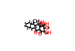 CC1=C2C=CC=CC2C=C2C(=O)C3C(=O)C(O)C(=O)C(O)C3(O)C(O)C21